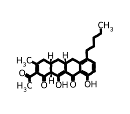 CCCCCc1ccc(O)c2c1C[C@H]1C[C@H]3CC(C)=C(C(C)=O)C(=O)[C@H]3C(O)=C1C2=O